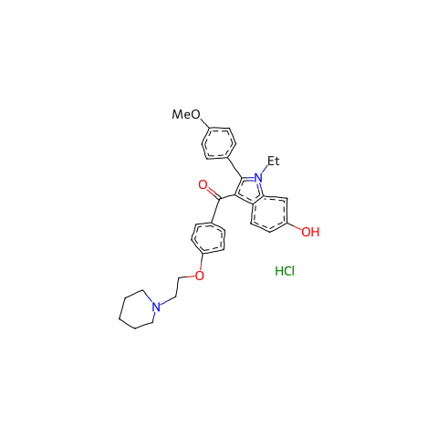 CCn1c(-c2ccc(OC)cc2)c(C(=O)c2ccc(OCCN3CCCCC3)cc2)c2ccc(O)cc21.Cl